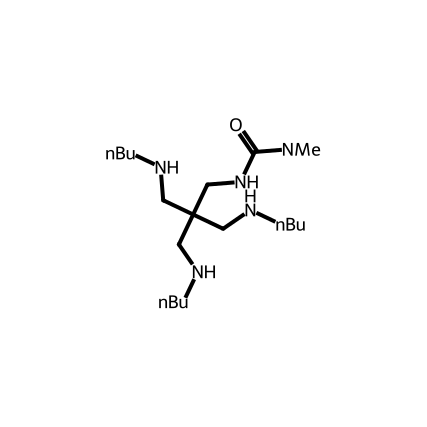 CCCCNCC(CNCCCC)(CNCCCC)CNC(=O)NC